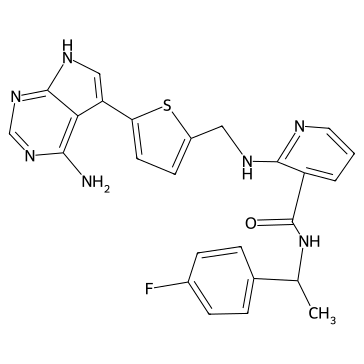 CC(NC(=O)c1cccnc1NCc1ccc(-c2c[nH]c3ncnc(N)c23)s1)c1ccc(F)cc1